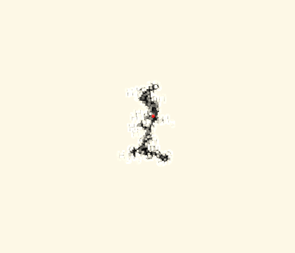 Cc1c(Nc2nc3ccccc3s2)nnc2c1CCCN2c1ccc(-c2cnn(CC34CC5(CCC[N+](C)(CCC(=O)O)Cc6ccc(NC(=O)[C@H](CCCNC(N)=O)NC(=O)[C@@H](NC(=O)CCOCCN7C(=O)C=CC7=O)C(C)C)cc6)C[C@@](C)(C3)C[C@](C)(C5)C4)c2C)c(C(=O)O)n1